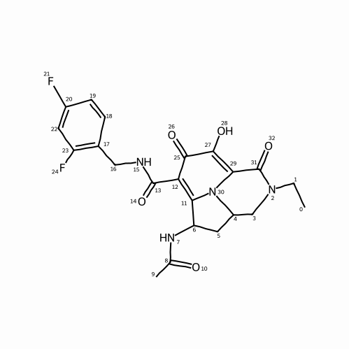 CCN1CC2CC(NC(C)=O)c3c(C(=O)NCc4ccc(F)cc4F)c(=O)c(O)c(n32)C1=O